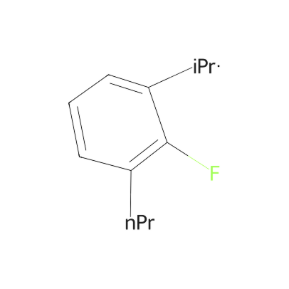 CCCc1cccc([C](C)C)c1F